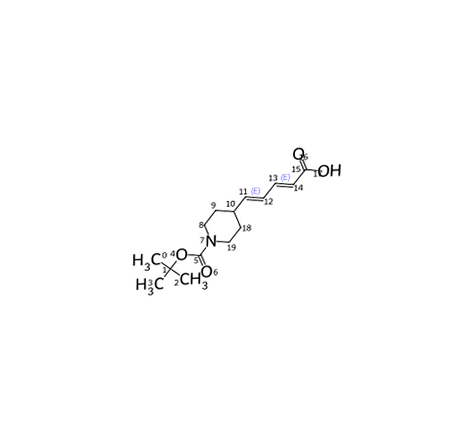 CC(C)(C)OC(=O)N1CCC(/C=C/C=C/C(=O)O)CC1